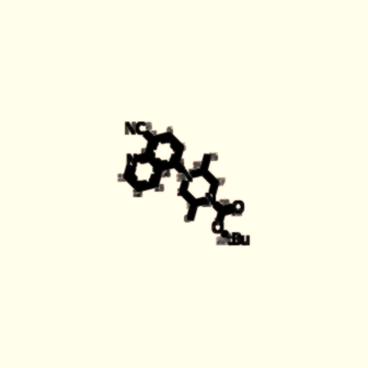 CC1CN(c2ccc(C#N)c3ncccc23)C(C)CN1C(=O)OC(C)(C)C